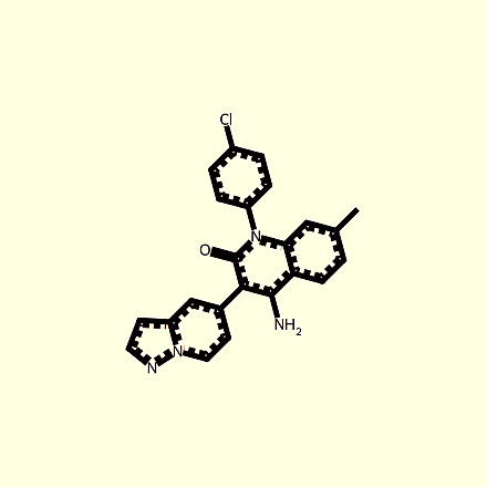 Cc1ccc2c(N)c(-c3ccn4nccc4c3)c(=O)n(-c3ccc(Cl)cc3)c2c1